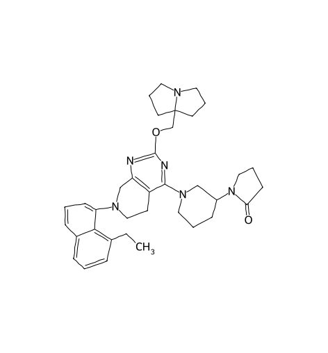 CCc1cccc2cccc(N3CCc4c(nc(OCC56CCCN5CCC6)nc4N4CCCC(N5CCCC5=O)C4)C3)c12